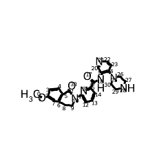 COc1ccc2c(c1)CCN(c1cccc(C(=O)Nc3cnccc3N3CCNCC3)n1)C2=O